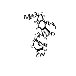 COc1ccc2[nH]c(=O)c(CNc3ccc(C#N)cn3)cc2c1